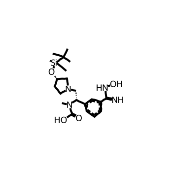 CN(C(=O)O)[C@H](CN1CC[C@H](O[Si](C)(C)C(C)(C)C)C1)c1cccc(C(=N)NO)c1